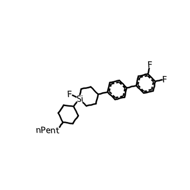 CCCCCC1CCC([Si]2(F)CCC(c3ccc(-c4ccc(F)c(F)c4)cc3)CC2)CC1